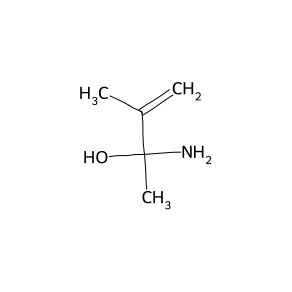 C=C(C)C(C)(N)O